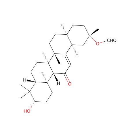 CC1(C)[C@@H](O)CC[C@]2(C)[C@H]3C(=O)C=C4[C@@H]5C[C@@](C)(OC=O)CC[C@]5(C)CC[C@@]4(C)[C@]3(C)CC[C@@H]12